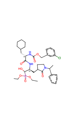 CCOP(=O)(OCC)C(O)[C@H](CC1CCN(C(C)c2ccccc2)C1=O)NC(=O)[C@H](CC1CCCCC1)NC(=O)OCc1cccc(Cl)c1